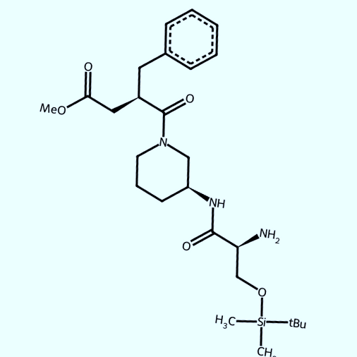 COC(=O)C[C@@H](Cc1ccccc1)C(=O)N1CCC[C@H](NC(=O)[C@@H](N)CO[Si](C)(C)C(C)(C)C)C1